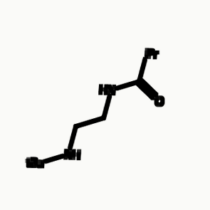 CC(C)C(=O)NCCNC(C)(C)C